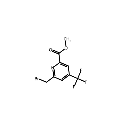 COC(=O)c1cc(C(F)(F)F)cc(CBr)n1